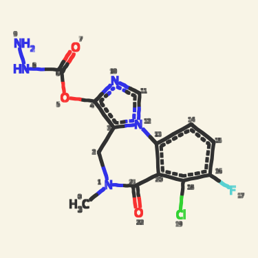 CN1Cc2c(OC(=O)NN)ncn2-c2ccc(F)c(Cl)c2C1=O